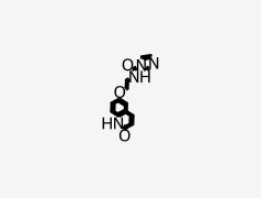 O=C(NCCOc1ccc2[nH]c(=O)ccc2c1)n1ccnc1